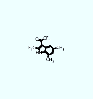 Cc1cc(C)c2[nH]c(C(F)(F)F)c(C(=O)C(F)(F)F)c2c1